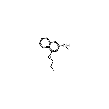 CCCOc1cc(NC)cc2ccccc12